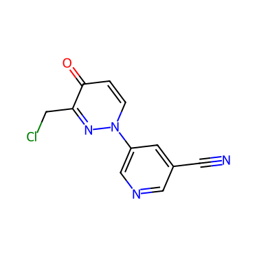 N#Cc1cncc(-n2ccc(=O)c(CCl)n2)c1